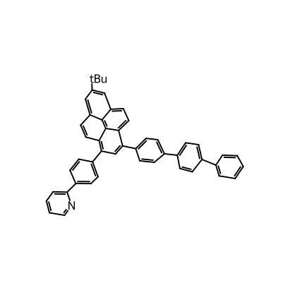 CC(C)(C)c1cc2ccc3c(-c4ccc(-c5ccc(-c6ccccc6)cc5)cc4)cc(-c4ccc(-c5ccccn5)cc4)c4ccc(c1)c2c34